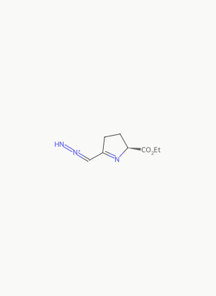 CCOC(=O)[C@@H]1CCC(C=[N+]=N)=N1